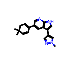 Cn1cc(-c2c[nH]c3ncc(C4=CCC(C)(C)C=C4)cc23)cn1